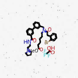 COC(=O)CCCCCN(Cc1cccc(-c2cccc(C(=O)NCCN3CCCC3)c2)c1)C(=O)Cc1ccccc1Br.O=C(O)C(F)(F)F